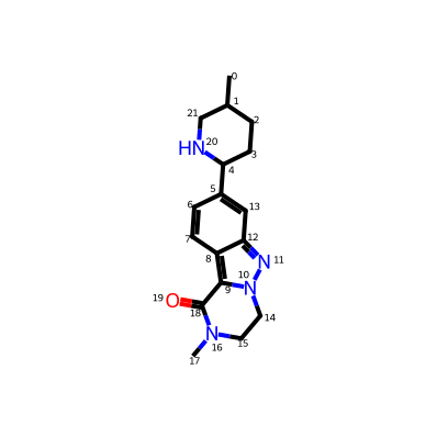 CC1CCC(c2ccc3c4n(nc3c2)CCN(C)C4=O)NC1